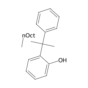 CC(C)(c1ccccc1)c1ccccc1O.CCCCCCCCC